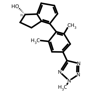 Cc1cc(-c2nnn(C)n2)cc(C)c1-c1cccc2c1CC[C@@H]2O